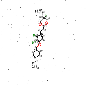 CCCC1CCC(COc2ccc(CCC3OCC(F)(CCC)CO3)c(F)c2F)CC1